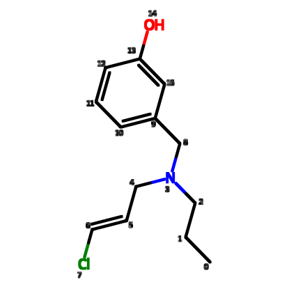 CCCN(CC=CCl)Cc1cccc(O)c1